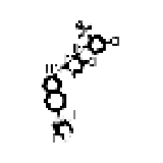 CP(C)(=O)c1cc(Cl)ccc1Nc1nc(Nc2ccc3c(c2)CC[C@@H](N2C[C@@H]4C[C@H]2CO4)CC3)ncc1Cl